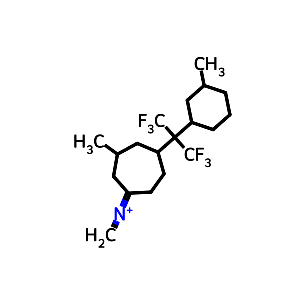 C=[N+]=C1CCC(C(C2CCCC(C)C2)(C(F)(F)F)C(F)(F)F)CC(C)C1